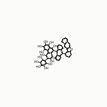 Oc1c(O)c(O)c(-c2c(O)c(O)c3c(-c4c5ccccc5c(-c5cccc6oc7cc8ccccc8cc7c56)c5ccccc45)c(O)c4c(O)c(O)c(O)c(O)c4c3c2O)c(O)c1O